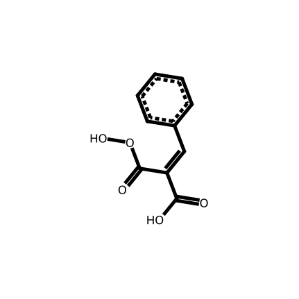 O=C(O)C(=Cc1ccccc1)C(=O)OO